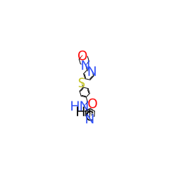 O=C(N[C@H]1CN2CCC1CC2)c1ccc(Sc2ccnc(N3CCOCC3)c2)cc1